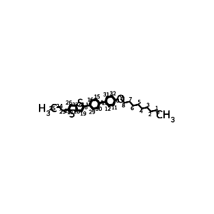 CCCCCCCCCOc1ccc(-c2ccc(-c3cc4sc(CCC)cc4s3)cc2)cc1